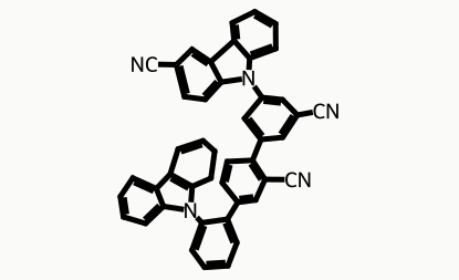 N#Cc1cc(-c2ccc(-c3ccccc3-n3c4c(c5ccccc53)C=CCC4)cc2C#N)cc(-n2c3ccccc3c3cc(C#N)ccc32)c1